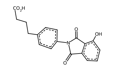 O=C(O)CCCc1ccc(N2C(=O)c3cccc(O)c3C2=O)cc1